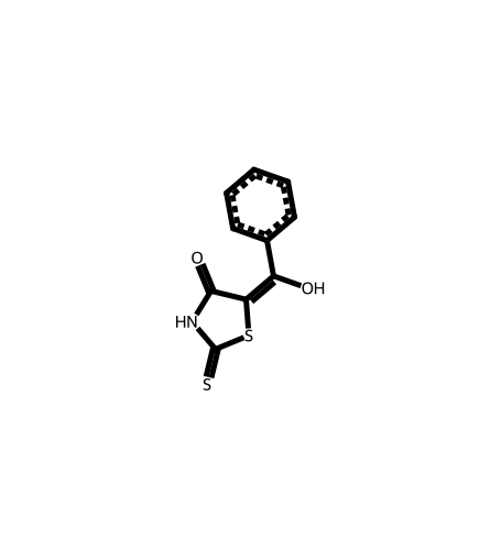 O=C1NC(=S)SC1=C(O)c1ccccc1